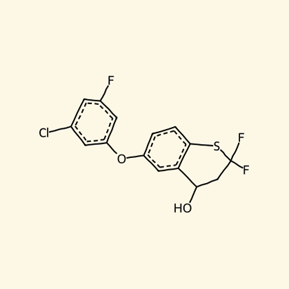 OC1CC(F)(F)Sc2ccc(Oc3cc(F)cc(Cl)c3)cc21